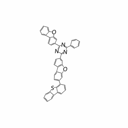 c1ccc(-c2nc(-c3ccc4c(c3)oc3ccccc34)nc(-c3ccc4c(c3)oc3cc(-c5cccc6c5sc5ccccc56)ccc34)n2)cc1